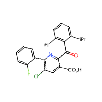 CC(C)c1cccc(C(C)C)c1C(=O)c1nc(-c2ccccc2F)c(Cl)cc1C(=O)O